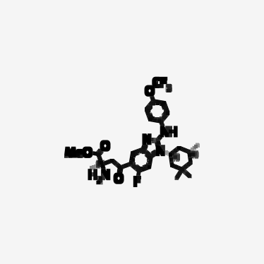 COC(=O)[C@](C)(N)CC(=O)c1cc2nc(Nc3ccc(OC(F)(F)F)cc3)n([C@@H]3C[C@H](C)CC(C)(C)C3)c2cc1F